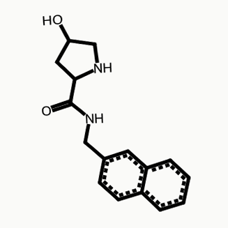 O=C(NCc1ccc2ccccc2c1)C1CC(O)CN1